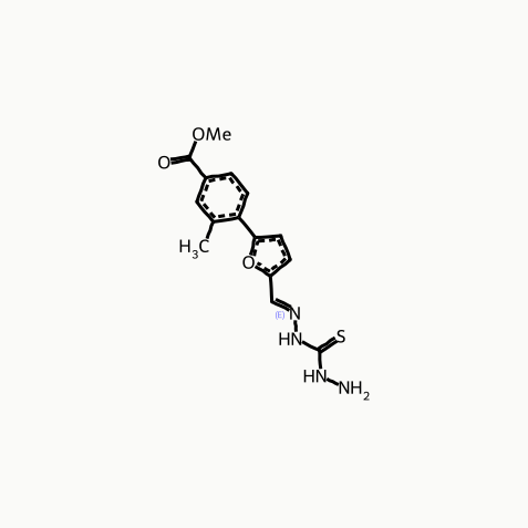 COC(=O)c1ccc(-c2ccc(/C=N/NC(=S)NN)o2)c(C)c1